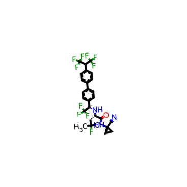 CC(C)(F)C[C@H](N[C@@H](c1ccc(-c2ccc(C(C(F)(F)F)C(F)(F)F)cc2)cc1)C(F)(F)F)C(=O)NC1(C#N)CC1